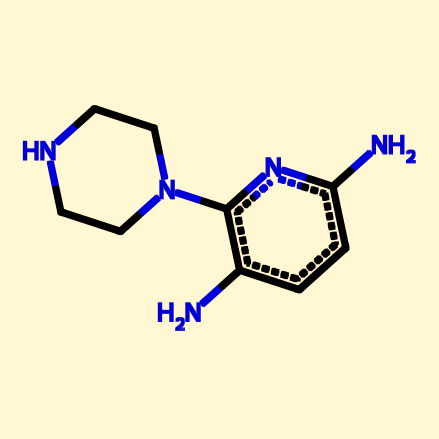 Nc1ccc(N)c(N2CCNCC2)n1